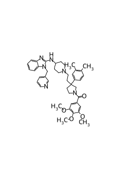 COc1cc(C(=O)N2CCC(CCN3CCC(Nc4nc5ccccc5n4Cc4cccnc4)CC3)(c3ccc(C)c(C)c3)C2)cc(OC)c1OC